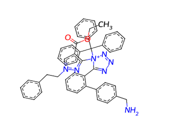 CCOC(=O)c1cn(CCc2ccccc2)nc1[N+]1(C(c2ccccc2)(c2ccccc2)c2ccccc2)N=NN=C1c1ccccc1-c1ccc(CN)cc1